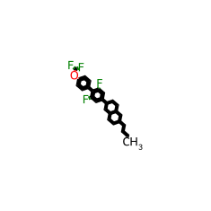 CCCCC1CCC2CC(c3cc(F)c(-c4ccc(OC(F)F)cc4)c(F)c3)CCC2C1